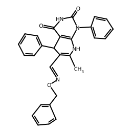 CC1=C(C=NOCc2ccccc2)C(c2ccccc2)c2c(n(-c3ccccc3)c(=O)[nH]c2=O)N1